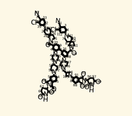 N#Cc1ccc(N2CCC3(CCN(C(=O)c4cc(-c5ccc(C(=O)N6CCC7(CCN(c8ccc(C#N)c(Cl)c8)CC7)C6)cc5N5CCN(C6CCN(c7ccc8c(c7)C(=O)N(C7CCC(=O)NC7=O)C8=O)CC6)CC5)cc(N5CCN(CC6CN(c7ccc8c(c7)C(=O)N(C7CCC(=O)NC7=O)C8=O)C6)CC5)c4)C3)CC2)cc1Cl